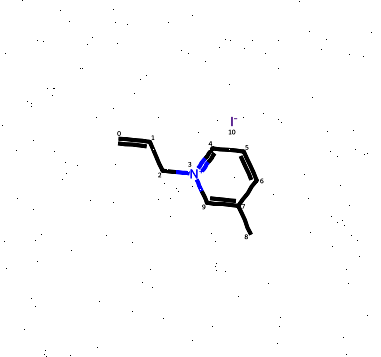 C=CC[n+]1cccc(C)c1.[I-]